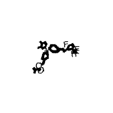 C=C(C)C(=O)OCc1ccc(N(c2ccc(C=Cc3cc(C(F)(F)F)ccc3F)cc2)c2ccc(C)c(C)c2)cc1